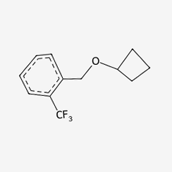 FC(F)(F)c1ccccc1COC1CCC1